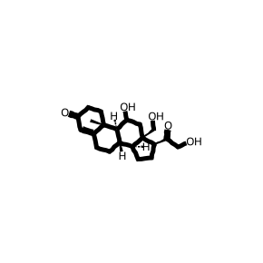 C[C@]12CCC(=O)C=C1CC[C@H]1[C@@H]3CC[C@H](C(=O)CO)[C@@]3(CO)CC(O)[C@@H]12